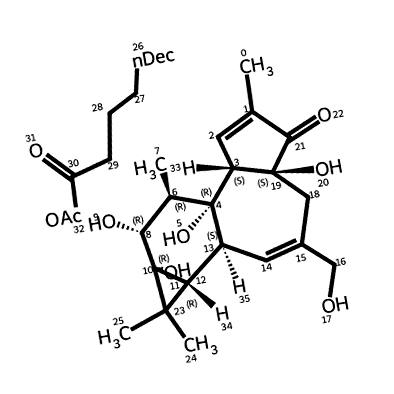 CC1=C[C@H]2[C@]3(O)[C@H](C)[C@@H](O)[C@@]4(O)[C@H]([C@@H]3C=C(CO)C[C@@]2(O)C1=O)C4(C)C.CCCCCCCCCCCCCC(=O)OC(C)=O